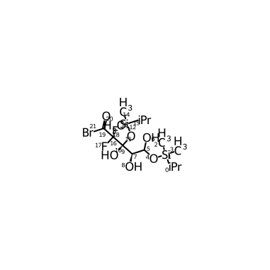 CC(C)[Si](C)(C)OC(O)[C@@H](O)[C@@](O)(O[Si](C)(C)C(C)C)C(F)(F)C(=O)Br